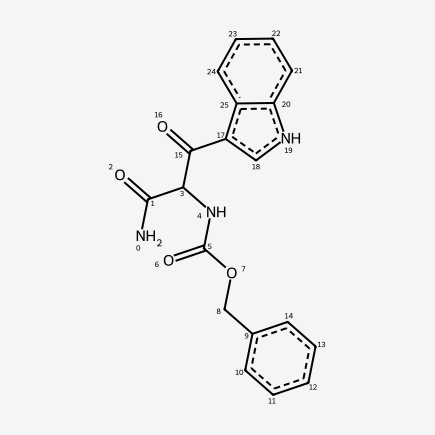 NC(=O)C(NC(=O)OCc1ccccc1)C(=O)c1c[nH]c2ccccc12